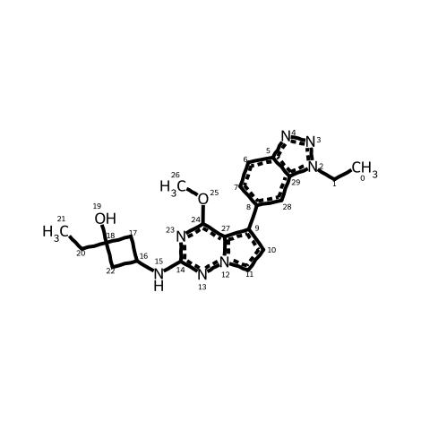 CCn1nnc2ccc(-c3ccn4nc(NC5CC(O)(CC)C5)nc(OC)c34)cc21